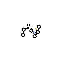 C[C@H]1C(c2cccc(-c3ccccc3)c2)[C@@H]1c1ccc(-n2c3ccccc3c3ccc4c5ccccc5sc4c32)cc1